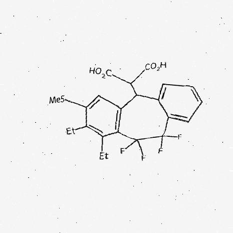 CCc1c(SC)cc2c(c1CC)C(F)(F)C(F)(F)c1ccccc1C2C(C(=O)O)C(=O)O